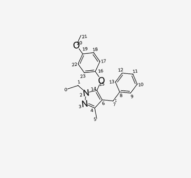 CCn1nc(C)c([C]c2ccccc2)c1Oc1ccc(OC)cc1